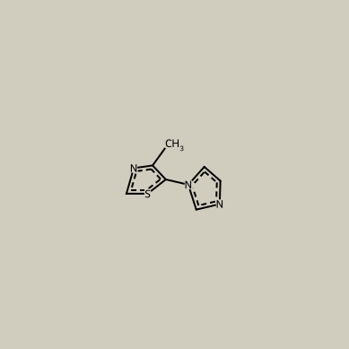 Cc1ncsc1-n1ccnc1